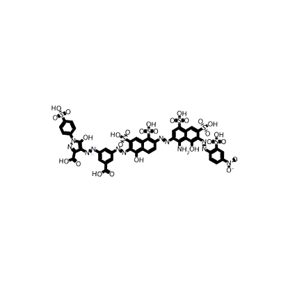 Nc1c(N=Nc2ccc3c(O)c(N=Nc4cc(/N=N/c5c(C(=O)O)nn(-c6ccc(S(=O)(=O)O)cc6)c5O)cc(C(=O)O)c4)c(S(=O)(=O)O)cc3c2S(=O)(=O)O)cc(S(=O)(=O)O)c2cc(S(=O)(=O)O)c(N=Nc3ccc([N+](=O)[O-])cc3S(=O)(=O)O)c(O)c12